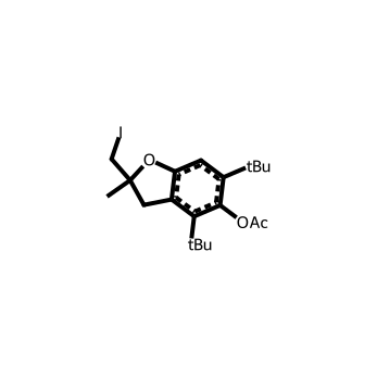 CC(=O)Oc1c(C(C)(C)C)cc2c(c1C(C)(C)C)CC(C)(CI)O2